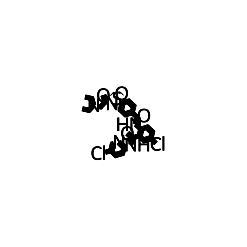 CCN(CC)CC(=O)N=S(C)(=O)c1ccc(C(=O)Nc2ccc(Cl)cc2C(=O)Nc2ccc(Cl)cn2)cc1